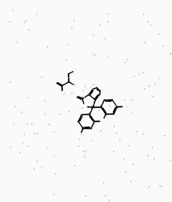 NCC(N)C(N)=S.O=C1OC2(c3ccc(O)cc3Oc3cc(O)ccc32)c2ccccc21